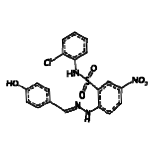 O=[N+]([O-])c1ccc(N/N=C/c2ccc(O)cc2)c(S(=O)(=O)Nc2ccccc2Cl)c1